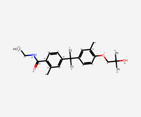 CCC(CC)(c1ccc(OCC(O)(C(C)C)C(C)C)c(C)c1)c1ccc(C(=O)NCC(=O)O)c(C)c1